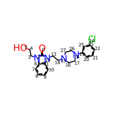 O=c1n(CCO)c2ccccc2n1CCN1CCN(c2cccc(Cl)c2)CC1